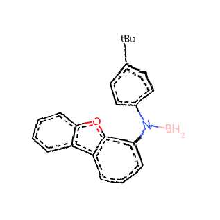 BN(c1ccc(C(C)(C)C)cc1)c1cccc2c1oc1ccccc12